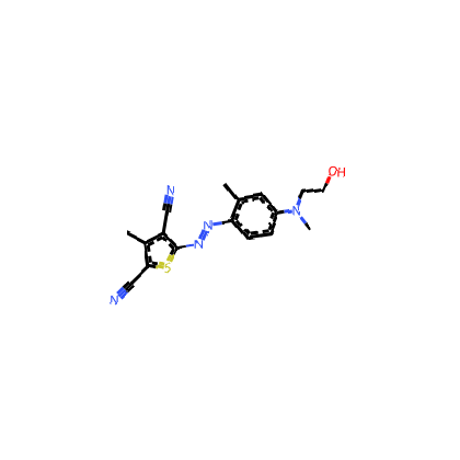 Cc1cc(N(C)CCO)ccc1N=Nc1sc(C#N)c(C)c1C#N